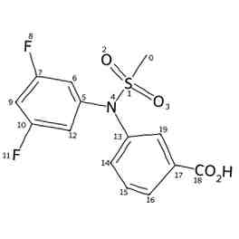 CS(=O)(=O)N(c1cc(F)cc(F)c1)c1cccc(C(=O)O)c1